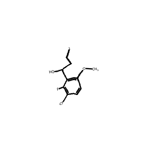 COc1ccc(Cl)c(F)c1C(O)CCI